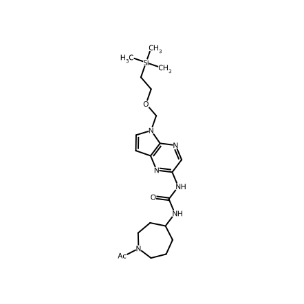 CC(=O)N1CCCC(NC(=O)Nc2cnc3c(ccn3COCC[Si](C)(C)C)n2)CC1